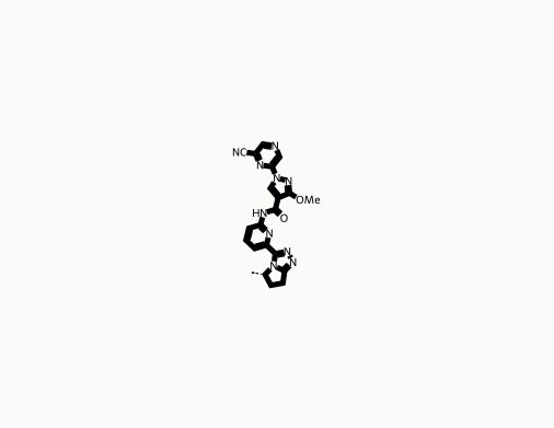 COc1nn(-c2cncc(C#N)n2)cc1C(=O)Nc1cccc(-c2nnc3n2[C@@H](C)CC3)n1